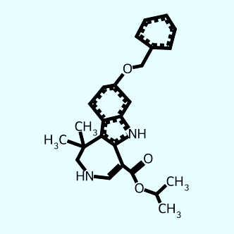 CC(C)OC(=O)C1=CNCC(C)(C)c2c1[nH]c1cc(OCc3ccccc3)ccc21